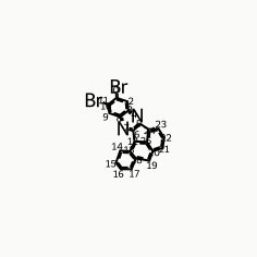 Brc1cc2nc3c(nc2cc1Br)-c1c2ccccc2cc2cccc-3c12